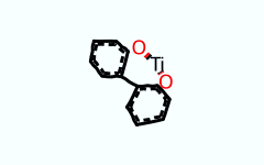 [O]=[Ti]=[O].c1ccc(-c2ccccc2)cc1